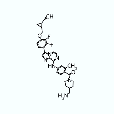 C#CC1CC1COc1ccc(-c2cnc3c(Nc4ccc(C(=O)N5CCC(CN)CC5)c(C)c4)nccn23)c(F)c1F